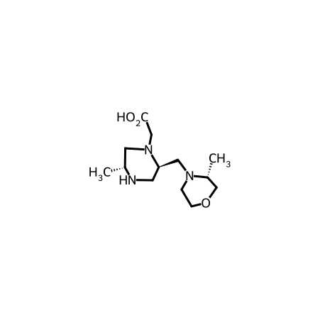 C[C@@H]1CN(CC(=O)O)[C@@H](CN2CCOC[C@H]2C)CN1